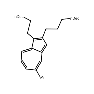 CCCCCCCCCCCCCc1cc2cc(C(C)C)cccc-2c1CCCCCCCCCCCC